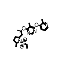 CCS(=O)(=O)N1C(C)CCC1C[C@@H](C)Oc1ncnc(Oc2cccnc2C)c1C